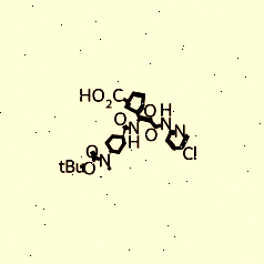 CN(C(=O)OC(C)(C)C)[C@H]1CC[C@H](C(=O)Nc2c(C(=O)Nc3ccc(Cl)cn3)oc3ccc(C(=O)O)cc23)CC1